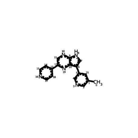 Cc1cncc(-c2c[nH]c3ncc(-c4ccncc4)nc23)c1